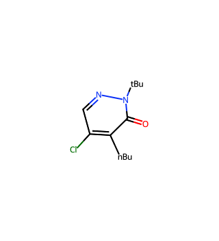 CCCCc1c(Cl)cnn(C(C)(C)C)c1=O